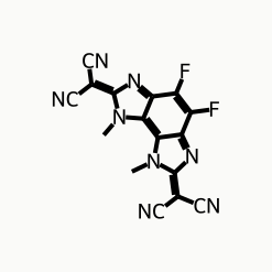 Cn1c(=C(C#N)C#N)nc2c(F)c(F)c3nc(=C(C#N)C#N)n(C)c3c21